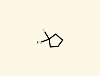 OC1(F)CCCC1